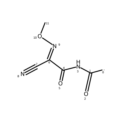 [CH2]C(=O)NC(=O)C(C#N)=NOC